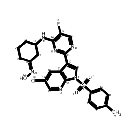 Cc1ccc(S(=O)(=O)n2cc(-c3ncc(F)c(NC4CCCC(=NO)C4)n3)c3cc(Cl)cnc32)cc1